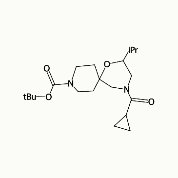 CC(C)C1CN(C(=O)C2CC2)CC2(CCN(C(=O)OC(C)(C)C)CC2)O1